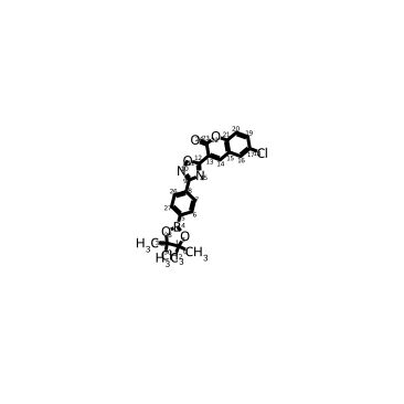 CC1(C)OB(c2ccc(-c3noc(-c4cc5cc(Cl)ccc5oc4=O)n3)cc2)OC1(C)C